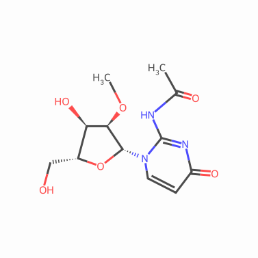 CO[C@@H]1[C@H](O)[C@@H](CO)O[C@H]1n1ccc(=O)nc1NC(C)=O